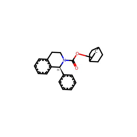 O=C(OC1CC2CCC1CC2)N1CCc2ccccc2[C@@H]1c1ccccc1